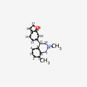 Cc1cccc2c1CN(C)CC2c1ccc2ccoc2c1